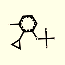 [CH2]c1cccc(OC(F)(F)F)c1C1CC1